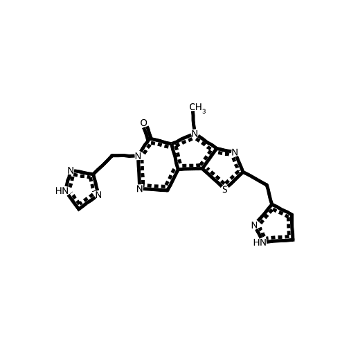 Cn1c2nc(Cc3cc[nH]n3)sc2c2cnn(Cc3nc[nH]n3)c(=O)c21